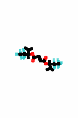 CC(C)C(C)(OC(=O)/C=C/C(=O)OC(C)(C(C)C)C(F)(F)C(F)(F)F)C(F)(F)C(F)(F)F